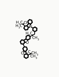 CC(C)(C)c1cccc2oc3cc(-c4cccc5c4oc4cc(C(C)(C)Cc6cccc(-n7c8ccccc8c8c(C(C)(C)C)cccc87)c6)ccc45)ccc3c12